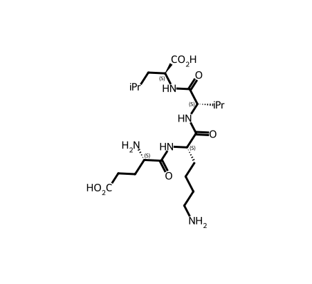 CC(C)C[C@H](NC(=O)[C@@H](NC(=O)[C@H](CCCCN)NC(=O)[C@@H](N)CCC(=O)O)C(C)C)C(=O)O